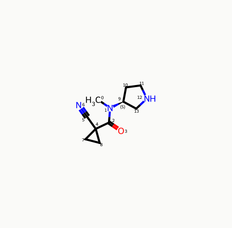 CN(C(=O)C1(C#N)CC1)[C@H]1CCNC1